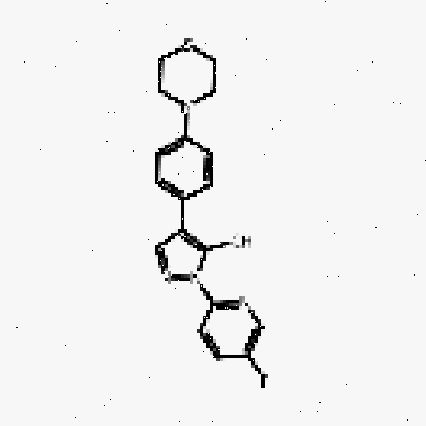 Cc1c(-c2ccc(N3CCSCC3)cc2)cnn1-c1ccc(F)cn1